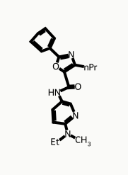 CCCc1nc(-c2ccccc2)oc1C(=O)Nc1ccc(N(C)CC)nc1